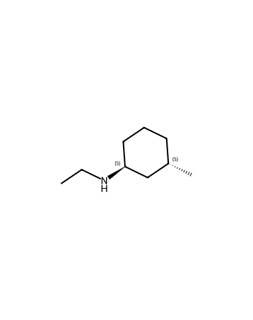 CCN[C@H]1CCC[C@H](C)C1